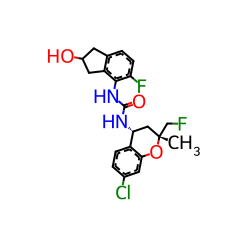 C[C@]1(CF)C[C@@H](NC(=O)Nc2c(F)ccc3c2CC(O)C3)c2ccc(Cl)cc2O1